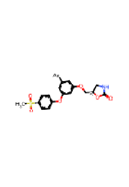 CC(=O)c1cc(OC[C@H]2CNC(=O)O2)cc(Oc2ccc(S(C)(=O)=O)cc2)c1